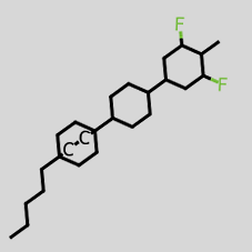 CCCCCC12CCC(C3CCC(C4CC(F)C(C)C(F)C4)CC3)(CC1)CC2